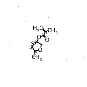 C=C(C)C(=O)OC1COC(C)CS1